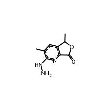 Cc1cc2c(nc1NN)C(=O)OC2C